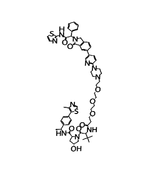 Cc1ncsc1-c1ccc([C@H](C)NC(=O)[C@@H]2C[C@@H](O)CN2C(=O)[C@@H](NC(=O)CCOCCOCCOCCN2CCN(c3ccc(-c4ccc5c(c4)C(=O)N(C(C(=O)Nc4nccs4)c4ccccc4)C5)cn3)CC2)C(C)(C)C)cc1